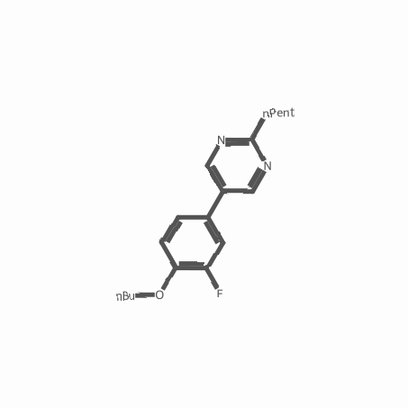 CCCCCc1ncc(-c2ccc(OCCCC)c(F)c2)cn1